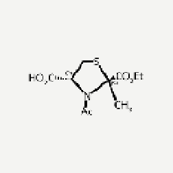 CCOC(=O)[C@]1(C)SC[C@@H](C(=O)O)N1C(C)=O